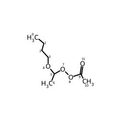 CCCCOC(C)OOC(C)=O